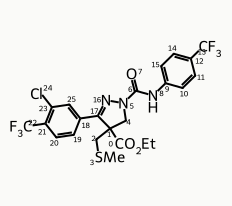 CCOC(=O)C1(CSC)CN(C(=O)Nc2ccc(C(F)(F)F)cc2)N=C1c1ccc(C(F)(F)F)c(Cl)c1